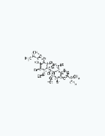 C=C(C)C(=O)Oc1c(Br)c(OCC)c(S(=O)(=O)c2c(OCC)c(Br)c(OC(=O)C(=C)C)c(Br)c2OCC)c(OCC)c1Br